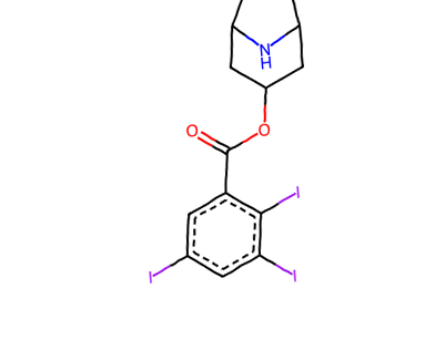 O=C(OC1CC2CCC(C1)N2)c1cc(I)cc(I)c1I